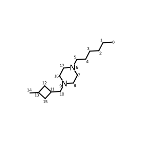 CCCCCCN1CCN(CC2CC(C)C2)CC1